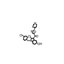 O=C(c1cnc(-c2ccncn2)o1)c1c(Cl)n(Cc2ccc(Cl)cc2)c2ccc(O)cc12